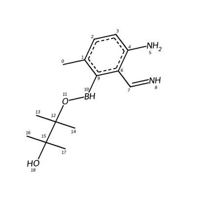 Cc1ccc(N)c(C=N)c1BOC(C)(C)C(C)(C)O